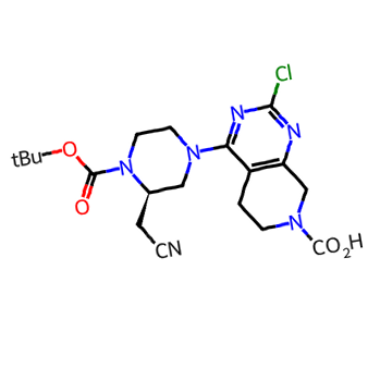 CC(C)(C)OC(=O)N1CCN(c2nc(Cl)nc3c2CCN(C(=O)O)C3)C[C@H]1CC#N